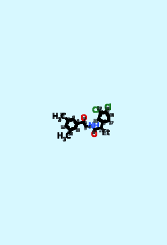 CCC(C(=O)NCC(=O)c1cc(C)cc(C)c1)c1ccc(Cl)c(Cl)c1